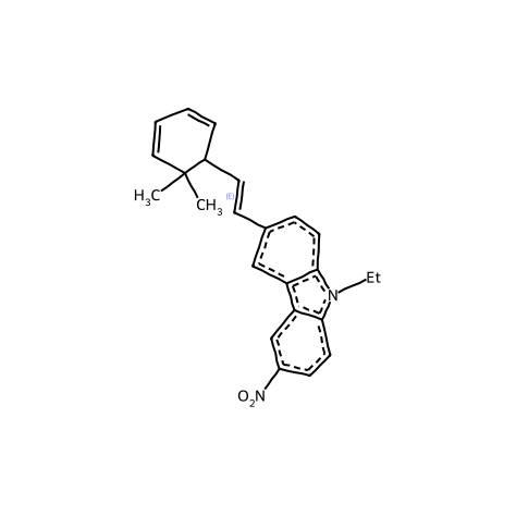 CCn1c2ccc(/C=C/C3C=CC=CC3(C)C)cc2c2cc([N+](=O)[O-])ccc21